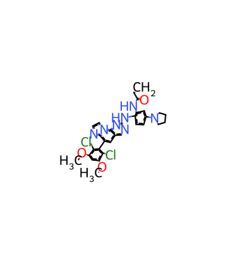 C=CC(=O)Nc1cc(N2CCCC2)ccc1Nc1ncc2cc(-c3c(Cl)c(OC)cc(OC)c3Cl)c3nccn3c2n1